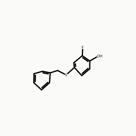 Oc1ccc(SCc2ccccc2)cc1F